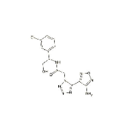 Nc1nonc1-c1nnnn1CC(=O)NC(CO)c1cccc(Cl)c1